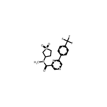 CN(C(=O)c1cncc(-c2ccc(C(F)(F)F)cc2)n1)C1CCS(=O)(=O)C1